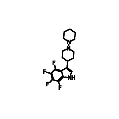 Fc1c(F)c(F)c2c(C3CCN(N4CCCCC4)CC3)c[nH]c2c1F